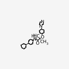 CC(C)(Oc1ccc(-n2ccnc2)cc1)C(=O)Nc1ccc(-c2ccccc2)cc1